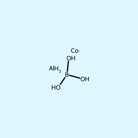 OB(O)O.[AlH3].[Co]